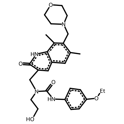 CCOc1ccc(NC(=O)N(CCO)Cc2cc3cc(C)c(CN4CCOCC4)c(C)c3[nH]c2=O)cc1